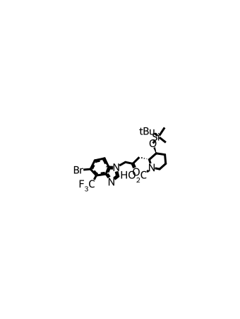 CC(C)(C)[Si](C)(C)O[C@H]1CCCN(C(=O)O)[C@@H]1CC(=O)Cn1cnc2c(C(F)(F)F)c(Br)ccc21